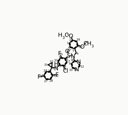 COc1ccc(CN(c2ccncn2)[S+]([O-])c2cc(Cl)c(NC3(c4cc(F)ccc4F)CC3)cc2F)c(OC)c1